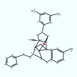 Cc1cc(C)nc(N2C[C@H]3CC45CCC2C3C42CCN(CCc3ccccc3)C5Cc3ccc(O)cc32)n1